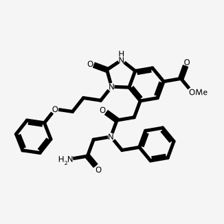 COC(=O)c1cc(CC(=O)N(CC(N)=O)Cc2ccccc2)c2c(c1)[nH]c(=O)n2CCCOc1ccccc1